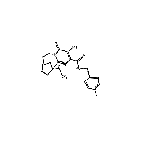 CNC12CCC(CCn3c1nc(C(=O)NCc1ccc(F)cc1)c(O)c3=O)C2